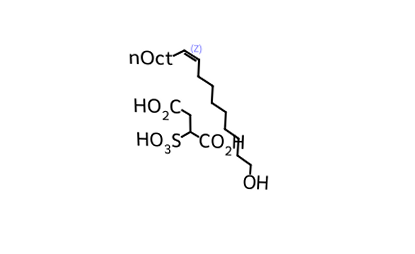 CCCCCCCC/C=C\CCCCCCCCO.O=C(O)CC(C(=O)O)S(=O)(=O)O